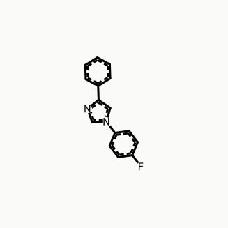 Fc1ccc(-n2cnc(-c3ccccc3)c2)cc1